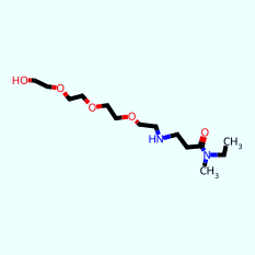 CCN(C)C(=O)CCNCCOCCOCCOCCO